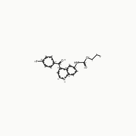 [CH2]CCOC(=O)Nc1ccc2nccc(C(=O)c3ccc(F)cc3)c2c1